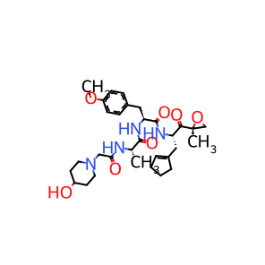 COc1ccc(C[C@H](NC(=O)[C@H](C)NC(=O)CN2CCC(O)CC2)C(=O)N[C@@H](CC2=CCCC2)C(=O)[C@@]2(C)CO2)cc1